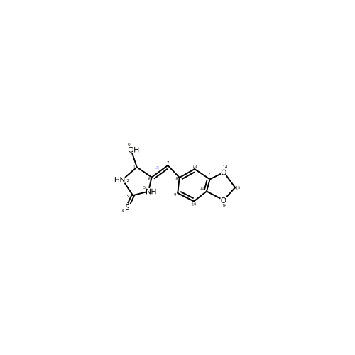 OC1NC(=S)N/C1=C\c1ccc2c(c1)OCO2